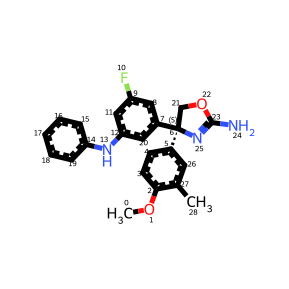 COc1ccc([C@]2(c3cc(F)cc(Nc4ccccc4)c3)COC(N)=N2)cc1C